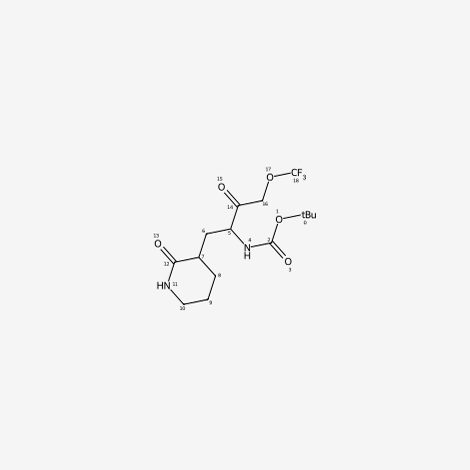 CC(C)(C)OC(=O)NC(CC1CCCNC1=O)C(=O)COC(F)(F)F